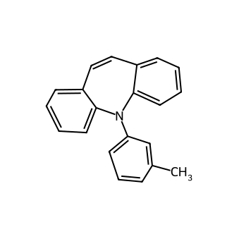 Cc1cccc(N2c3ccccc3C=Cc3ccccc32)c1